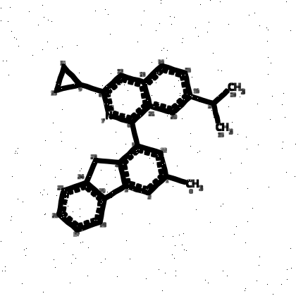 Cc1cc2c(c(-c3nc(C4CC4)cc4ccc(C(C)C)cc34)c1)Cc1ccccc1-2